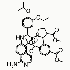 CCOc1cc(C(Nc2ccc3c(N)nccc3c2)C(=O)N2CCC(C(=O)OC)C2c2cc(C(=O)OC)ccc2S(=O)(=O)C(C)C)ccc1OC(C)C